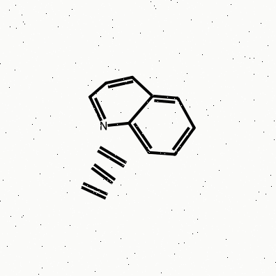 C=C.C=C.C=C.c1ccc2ncccc2c1